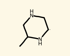 CC1CNC[CH]N1